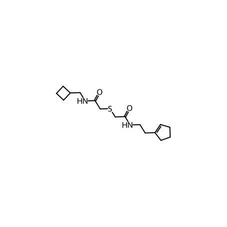 O=C(CSCC(=O)NCC1CCC1)NCCC1=CCCC1